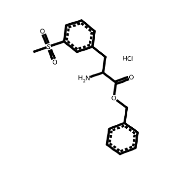 CS(=O)(=O)c1cccc(CC(N)C(=O)OCc2ccccc2)c1.Cl